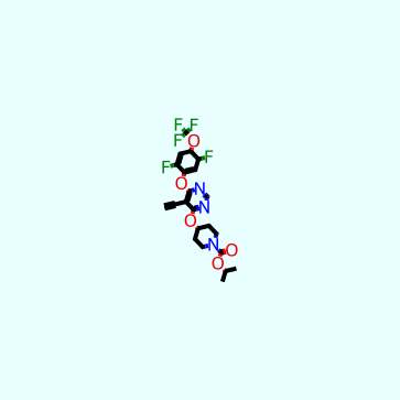 C#Cc1c(OC2=CC(F)C(OC(F)(F)F)C=C2F)ncnc1OC1CCN(C(=O)OC(C)C)CC1